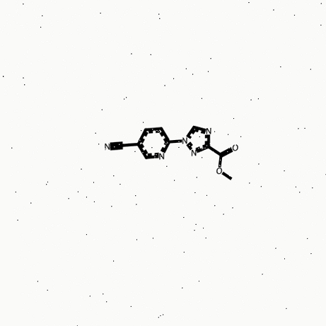 COC(=O)c1ncn(-c2ccc(C#N)cn2)n1